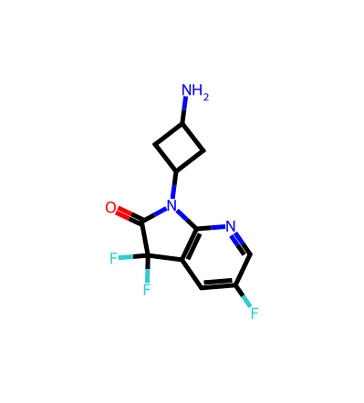 NC1CC(N2C(=O)C(F)(F)c3cc(F)cnc32)C1